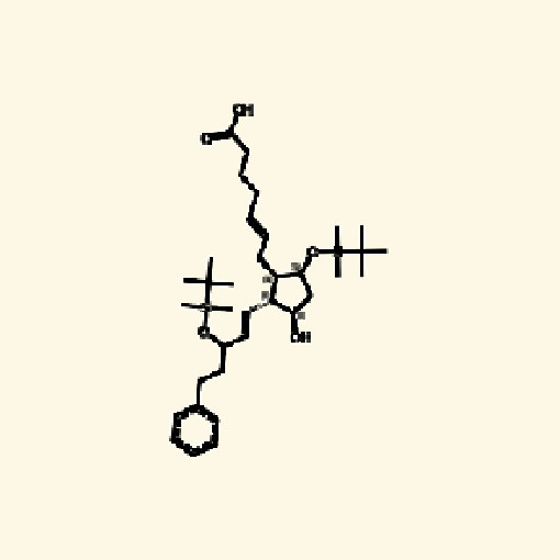 CC(C)(C)[Si](C)(C)OC(C=C[C@@H]1[C@@H](CC=CCCCC(=O)O)[C@@H](O[Si](C)(C)C(C)(C)C)C[C@H]1O)CCc1ccccc1